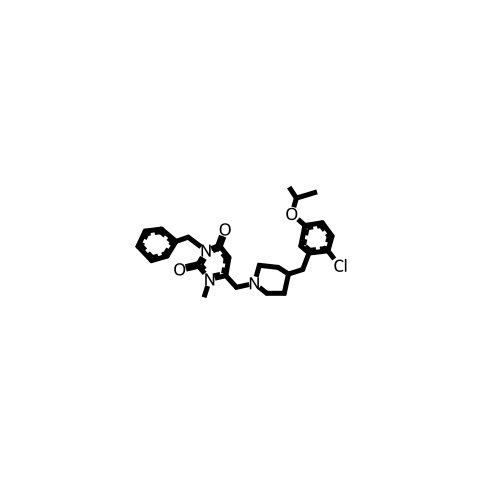 CC(C)Oc1ccc(Cl)c(CC2CCN(Cc3cc(=O)n(Cc4ccccc4)c(=O)n3C)CC2)c1